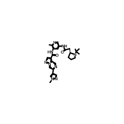 Cc1ncc(NC(=O)C[C@@H]2CCCN2C(C)(C)C)cc1NC(=O)c1cnn2cc(-c3cnn(C)c3)ncc12